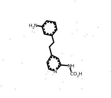 Nc1cccc(CCc2ccnc(NC(=O)O)c2)c1